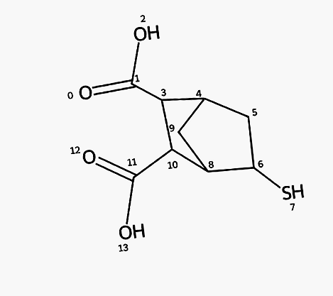 O=C(O)C1C2CC(S)C(C2)C1C(=O)O